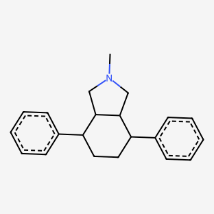 CN1CC2C(c3ccccc3)CCC(c3ccccc3)C2C1